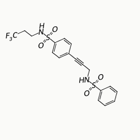 O=S(=O)(NCC#Cc1ccc(S(=O)(=O)NCCC(F)(F)F)cc1)c1ccccc1